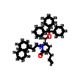 C=CC[C@@H]1C[C@@H](COC(c2ccccc2)(c2ccccc2)c2ccccc2)N(CCc2cccc3ccccc23)C1=O